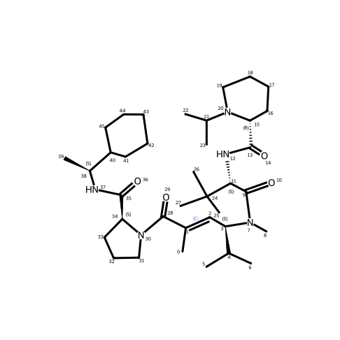 C/C(=C\[C@H](C(C)C)N(C)C(=O)[C@@H](NC(=O)[C@H]1CCCCN1C(C)C)C(C)(C)C)C(=O)N1CCC[C@H]1C(=O)N[C@@H](C)C1CCCCC1